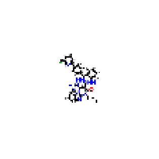 CN1C(=O)/C(=C(/NCc2ccc(-c3cccc(F)n3)cc2)Nc2ccccc2)C(N)N2C1=N[C@@H]1CCC[C@@H]12